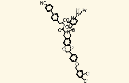 Cc1nc(NCC(C)C)ccc1S(=O)(=O)N1Cc2cc3c(cc2CC1C(=O)NC(Cc1ccc(-c2ccc(C#N)cc2)cc1)C(=O)O)OCC(c1ccc(OCc2ccc(Cl)c(Cl)c2)cc1)O3